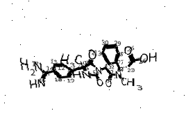 CN(C(=O)CN1C(=O)N[C@@](C)(c2ccc(C(=N)N)cc2)C1=O)[C@@H](CC(=O)O)c1ccccc1